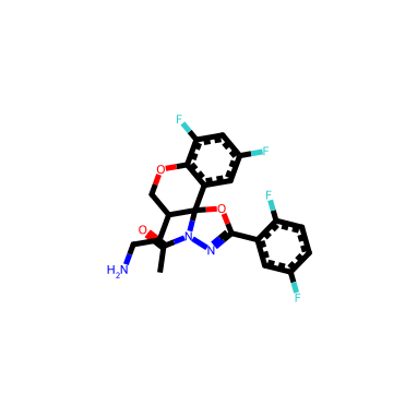 CC(=O)N1N=C(c2cc(F)ccc2F)OC12c1cc(F)cc(F)c1OCC2CCN